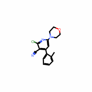 Cc1ccccc1-c1cc(N2CCOCC2)nc(Cl)c1C#N